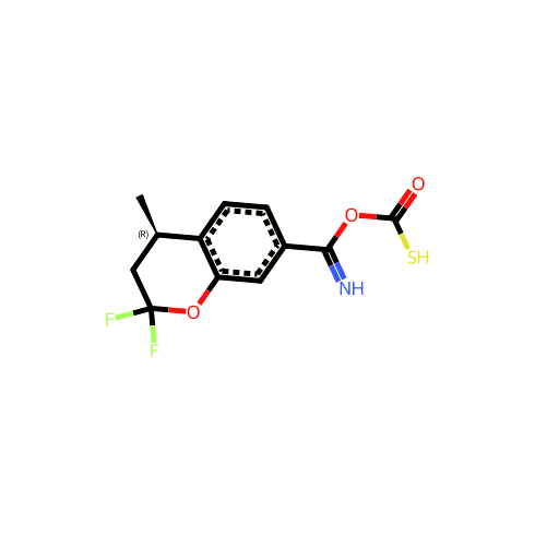 C[C@@H]1CC(F)(F)Oc2cc(C(=N)OC(=O)S)ccc21